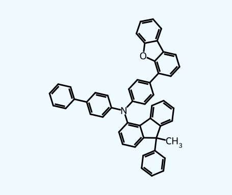 CC1(c2ccccc2)c2ccccc2-c2c(N(c3ccc(-c4ccccc4)cc3)c3ccc(-c4cccc5c4oc4ccccc45)cc3)cccc21